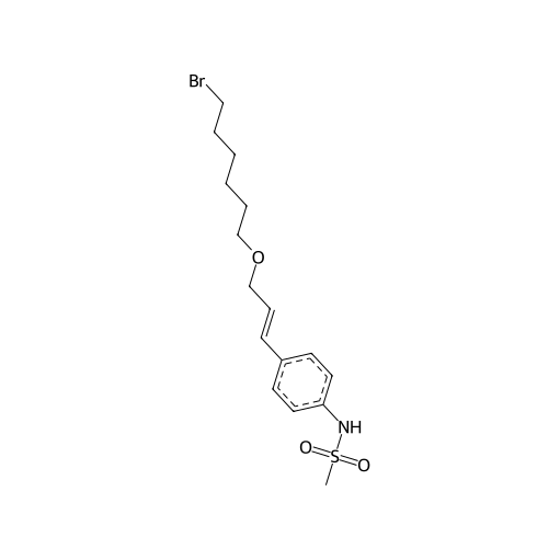 CS(=O)(=O)Nc1ccc(C=CCOCCCCCCBr)cc1